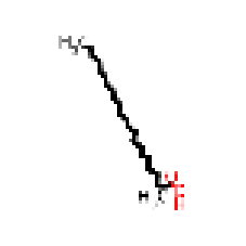 CCCCCCCCCCCCCCCCCCCCCC(C)C(=O)O